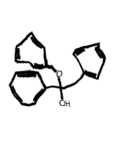 OC(Cc1ccccc1)(Oc1ccccc1)c1ccccc1